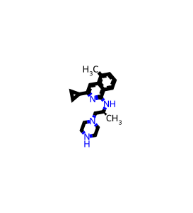 Cc1cccc2c(N[C@@H](C)CN3CCNCC3)nc(C3CC3)cc12